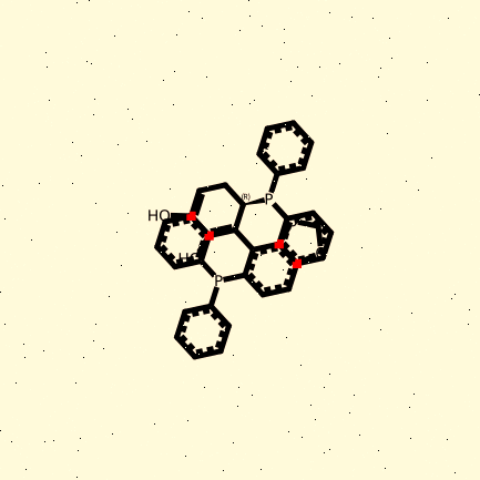 OC1=CC[C@@H](P(c2ccccc2)c2ccccc2)C(c2c(P(c3ccccc3)c3ccccc3)ccc3c2OCO3)=C1O